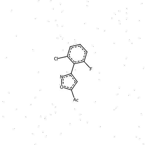 CC(=O)c1cc(-c2c(F)cccc2Cl)no1